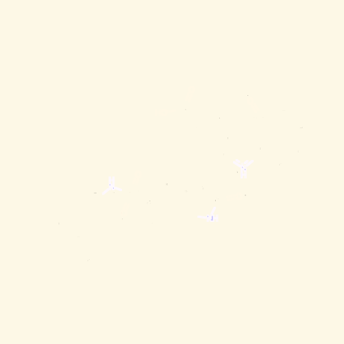 O=C(O)CCc1c(C=C2C(=O)Nc3ccc(S(=O)(=O)Nc4ccc(F)c(Cl)c4)cc32)[nH]c2c1C(=O)CCCC2